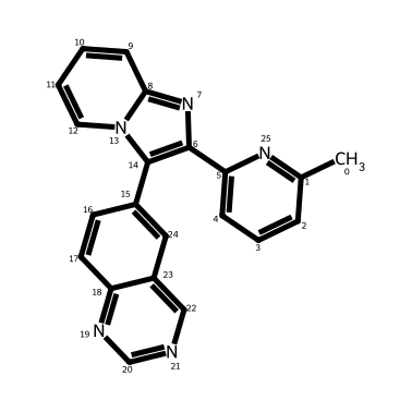 Cc1cccc(-c2nc3ccccn3c2-c2ccc3ncncc3c2)n1